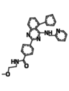 COCCNC(=O)c1ccc(-c2nc(NCc3ccccn3)c3c(-c4ccccc4)cccc3n2)cc1